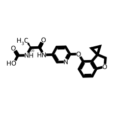 C[C@H](NC(=O)O)C(=O)Nc1ccc(Oc2cccc3c2C2(CC2)CO3)nc1